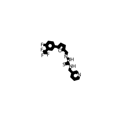 Fc1ccc(-c2ccc(C=NNC(=S)NCc3cccnc3)o2)cc1C(F)(F)F